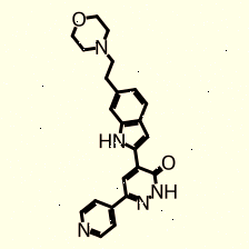 O=c1[nH]nc(-c2ccncc2)cc1-c1cc2ccc(CCN3CCOCC3)cc2[nH]1